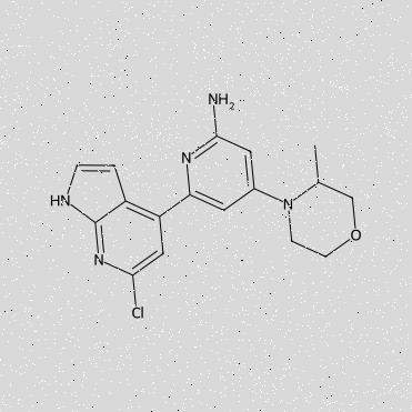 CC1COCCN1c1cc(N)nc(-c2cc(Cl)nc3[nH]ccc23)c1